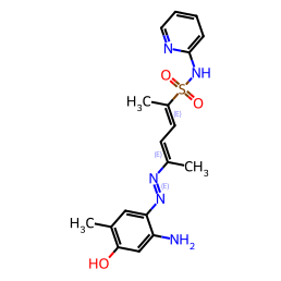 CC(=C\C=C(/C)S(=O)(=O)Nc1ccccn1)/N=N/c1cc(C)c(O)cc1N